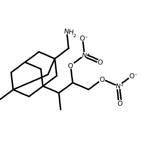 CC(C(CO[N+](=O)[O-])O[N+](=O)[O-])C12CC3CC(C)(CC(CN)(C3)C1)C2